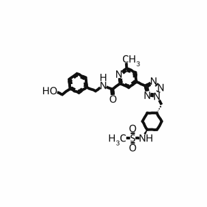 Cc1cc(-c2nnn(C[C@H]3CC[C@H](NS(C)(=O)=O)CC3)n2)cc(C(=O)NCc2cccc(CO)c2)n1